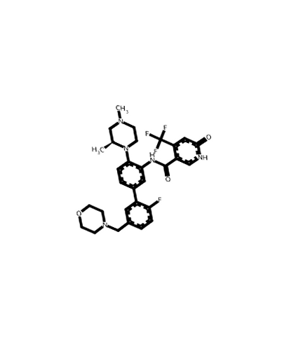 C[C@H]1CN(C)CCN1c1ccc(-c2cc(CN3CCOCC3)ccc2F)cc1NC(=O)c1c[nH]c(=O)cc1C(F)(F)F